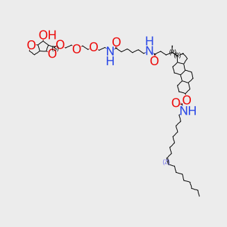 CCCCCCCC/C=C\CCCCCCCCNC(=O)OC1CCC2C(CCC3C2CCC2C3CC[C@@H]2[C@H](C)CCC(=O)NCCCCCC(=O)NCCOCCOCCO[C@H]2OC3C4CCOC4C(O)C32)C1